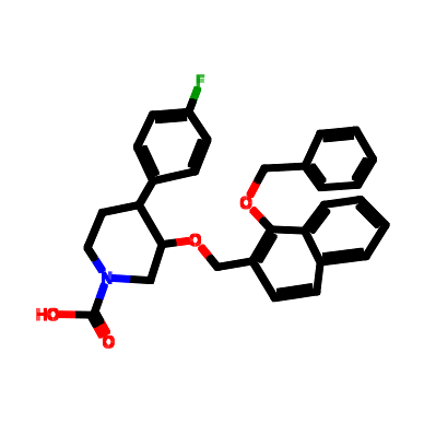 O=C(O)N1CCC(c2ccc(F)cc2)C(OCc2ccc3ccccc3c2OCc2ccccc2)C1